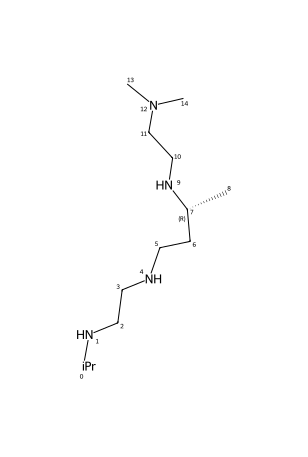 CC(C)NCCNCC[C@@H](C)NCCN(C)C